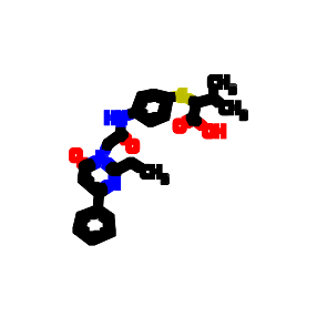 CCc1nc(-c2ccccc2)cc(=O)n1CC(=O)Nc1ccc(SC(C(=O)O)C(C)C)cc1